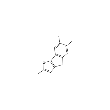 Cc1cc2c(o1)-c1cc(C)c(C)cc1C2